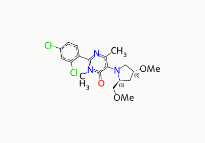 COC[C@@H]1C[C@@H](OC)CN1c1c(C)nc(-c2ccc(Cl)cc2Cl)n(C)c1=O